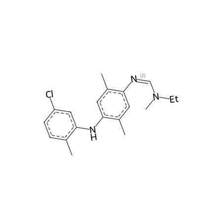 CCN(C)/C=N\c1cc(C)c(Nc2cc(Cl)ccc2C)cc1C